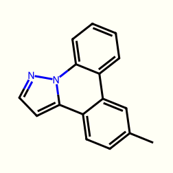 Cc1ccc2c(c1)c1ccccc1n1nccc21